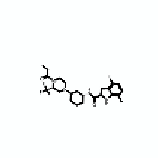 CCC(=O)N1CCN(C2CCC[C@@H](NC(=O)C3Cc4c(F)ccc(C)c4N3)C2)C[C@H]1C(F)(F)F